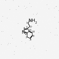 NCCC1=CN=C2CC=CC=C12